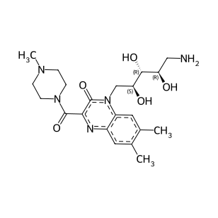 Cc1cc2nc(C(=O)N3CCN(C)CC3)c(=O)n(C[C@H](O)[C@H](O)[C@H](O)CN)c2cc1C